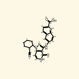 N#CC1CCCCC1n1nc(Nc2ccc3nc(C(=O)O)ccc3c2)c2c(=O)[nH]ccc21